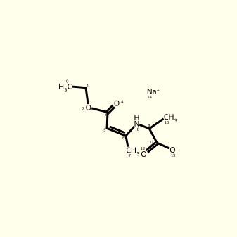 CCOC(=O)C=C(C)NC(C)C(=O)[O-].[Na+]